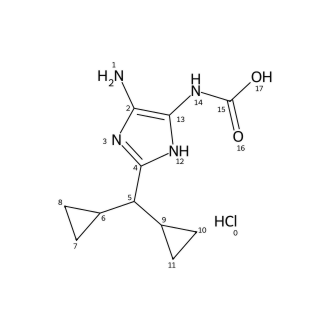 Cl.Nc1nc(C(C2CC2)C2CC2)[nH]c1NC(=O)O